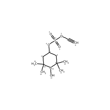 C#COS(=O)(=O)OC1CC(C)(C)N(O)C(C)(C)C1